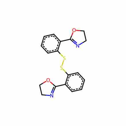 c1ccc(C2=NCCO2)c(SSc2ccccc2C2=NCCO2)c1